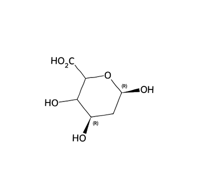 O=C(O)C1O[C@@H](O)C[C@@H](O)C1O